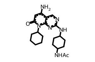 CC(=O)NC1CCC(Nc2ncc3c(N)cc(=O)n(C4CCCCC4)c3n2)CC1